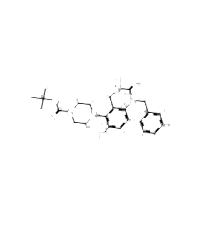 CC(C)(C)OC(=O)N1CCN(c2c(F)ccc3c2CNC(=O)N3Cc2ccccc2)CC1